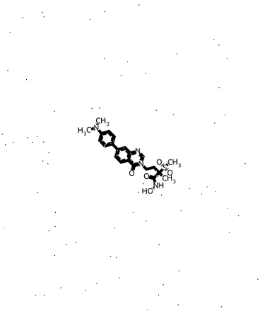 CN(C)c1ccc(-c2ccc3c(=O)n(CCC(C)(C(=O)NO)S(C)(=O)=O)cnc3c2)cc1